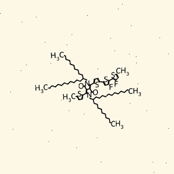 CCCCCCCCCCCCC(CCCCCCCCCC)CN1C(=O)C2=C(c3ccc(-c4cc(F)c(-c5sc(C)cc5F)s4)s3)N(CC(CCCCCCCCCC)CCCCCCCCCCCC)C(=O)C2=C1c1ccc(C)s1